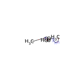 CCCCC/C=C\C/C=C\C/C=C\C/C=C\CCCC(=O)O[C@@H](CO)CO/C=C\CCCCCCCCCCCCCCCC